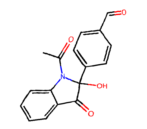 CC(=O)N1c2ccccc2C(=O)C1(O)c1ccc(C=O)cc1